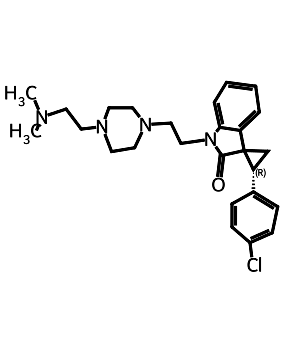 CN(C)CCN1CCN(CCN2C(=O)C3(C[C@@H]3c3ccc(Cl)cc3)c3ccccc32)CC1